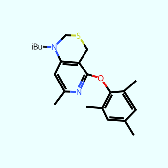 CCC(C)N1CSCc2c1cc(C)nc2Oc1c(C)cc(C)cc1C